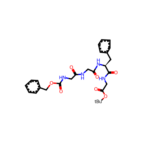 CC(C)(C)OC(=O)CNC(=O)[C@H](Cc1ccccc1)NC(=O)CNC(=O)CNC(=O)OCc1ccccc1